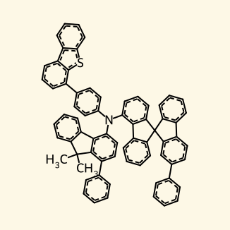 CC1(C)c2ccccc2-c2c(N(c3ccc(-c4cccc5c4sc4ccccc45)cc3)c3cccc4c3-c3ccccc3C43c4ccccc4-c4ccc(-c5ccccc5)cc43)ccc(-c3ccccc3)c21